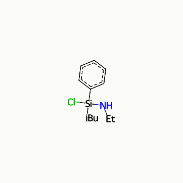 CCN[Si](Cl)(c1ccccc1)C(C)CC